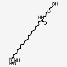 O=C(CCCCCCCCCCCCCCCc1nnn[nH]1)NCCOCCO